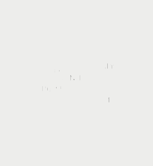 CC(C)c1cc(I)[c]c(CNC(=O)OC(C)(C)C)c1